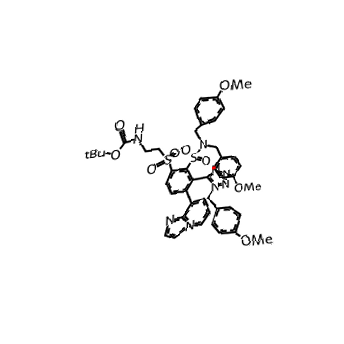 COc1ccc(CN(Cc2ccc(OC)cc2)S(=O)(=O)c2c(S(=O)(=O)CCNC(=O)OC(C)(C)C)ccc(-c3cccn4ccnc34)c2-c2nnnn2Cc2ccc(OC)cc2)cc1